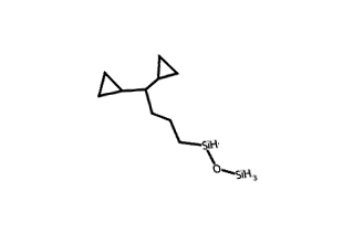 [SiH3]O[SiH]CCCC(C1CC1)C1CC1